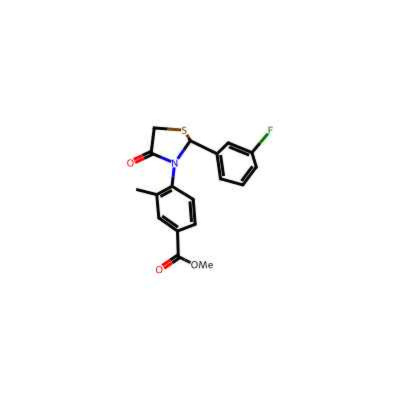 COC(=O)c1ccc(N2C(=O)CSC2c2cccc(F)c2)c(C)c1